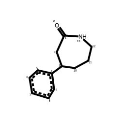 O=C1CC(c2ccccc2)CCCN1